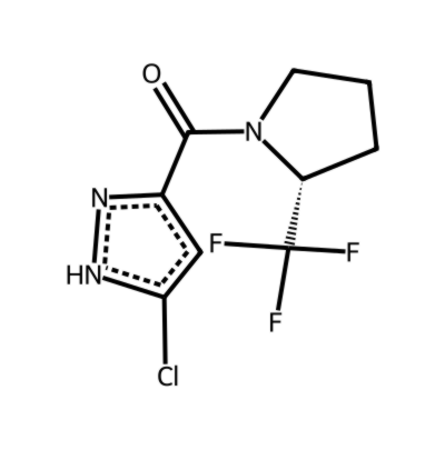 O=C(c1cc(Cl)[nH]n1)N1CCC[C@@H]1C(F)(F)F